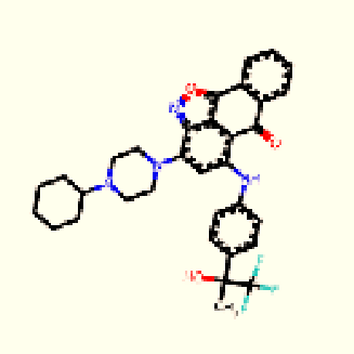 CC(O)(c1ccc(Nc2cc(N3CCN(C4CCCCC4)CC3)c3noc4c3c2C(=O)c2ccccc2-4)cc1)C(F)(F)F